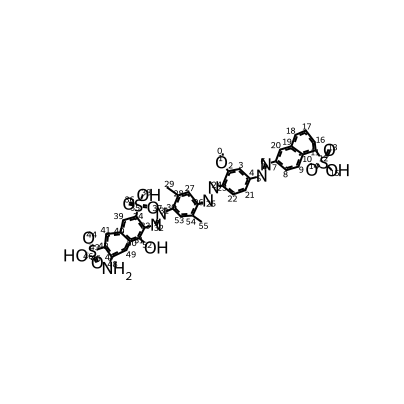 COc1cc(/N=N/c2ccc3c(S(=O)(=O)O)cccc3c2)ccc1/N=N/c1cc(C)c(/N=N/c2c(S(=O)(=O)O)cc3cc(S(=O)(=O)O)c(N)cc3c2O)cc1C